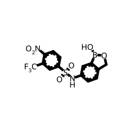 O=[N+]([O-])c1ccc(S(=O)(=O)Nc2ccc3c(c2)B(O)OC3)cc1C(F)(F)F